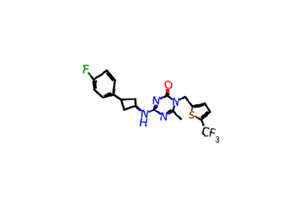 Cc1nc(NC2CC(c3ccc(F)cc3)C2)nc(=O)n1Cc1ccc(C(F)(F)F)s1